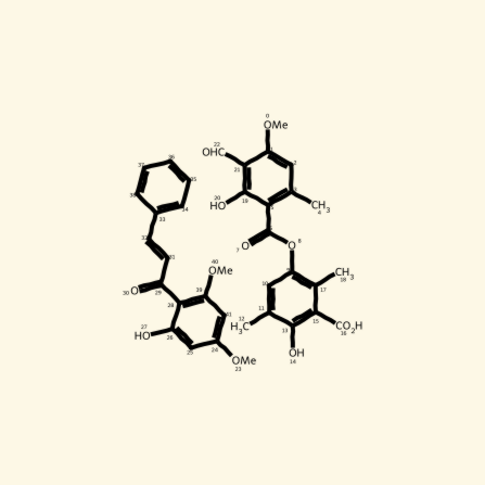 COc1cc(C)c(C(=O)Oc2cc(C)c(O)c(C(=O)O)c2C)c(O)c1C=O.COc1cc(O)c(C(=O)C=Cc2ccccc2)c(OC)c1